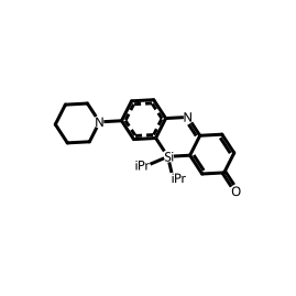 CC(C)[Si]1(C(C)C)C2=CC(=O)C=CC2=Nc2ccc(N3CCCCC3)cc21